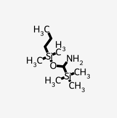 CCC[Si](C)(C)OC(N)[Si](C)(C)C